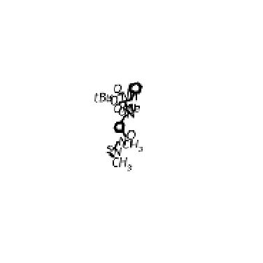 COCC(Cc1ccccc1)(NC(=O)OC(C)(C)C)c1nnc(-c2cccc(C(=O)N(C)Cc3nc(C)cs3)c2)o1